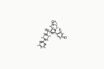 CN1CCn2c(-c3ccc(Cl)cc3F)nc(C(=O)N3CCN(c4ncccn4)CC3)c2C1